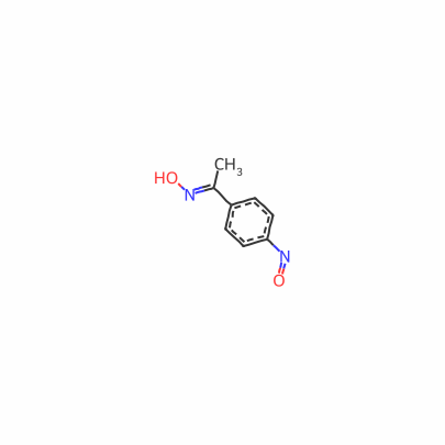 CC(=NO)c1ccc(N=O)cc1